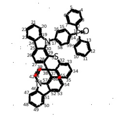 O=P(c1ccccc1)(c1ccccc1)c1ccc(-n2c3ccccc3c3ccc4c(c32)Sc2ccccc2C42c3ccccc3-n3c4ccccc4c4cccc2c43)cc1